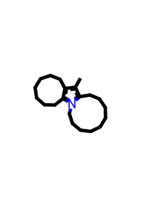 Cc1c2c(n3c1CCCCCCCCC3)CCCCCCC2